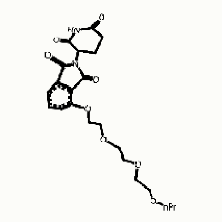 CCCOCCOCCOCCOc1cccc2c1C(=O)N(C1CCC(=O)NC1=O)C2=O